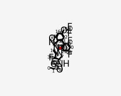 CCS(=O)(=O)N[C@@H]1Cn2c(cn(-c3noc4cc(OC(F)F)cc(-c5c(F)cc(F)cc5F)c34)c2=O)C1(F)F